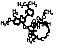 CCOC(=O)[C@@]12C[C@H]1CCCCCCN(C)C(=O)[C@@H]1C[C@H](Oc3cc(-c4cccc(C(C)C)n4)nc4c(C)c(OC)ccc34)C[C@H]1C(=O)N2